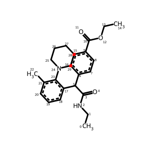 CCNC(=O)C(c1ccc(C(=O)OCC)cc1)c1cccc(C)c1N1CCCCC1